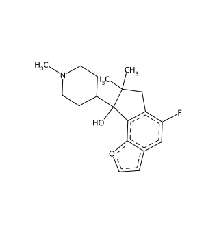 CN1CCC(C2(O)c3c(c(F)cc4ccoc34)CC2(C)C)CC1